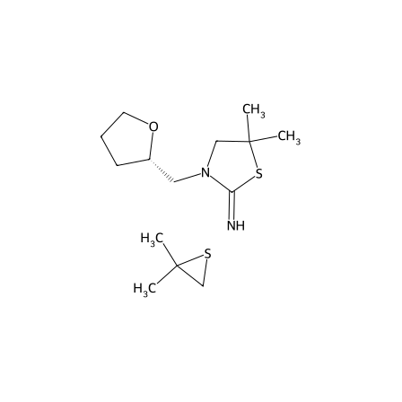 CC1(C)CN(C[C@@H]2CCCO2)C(=N)S1.CC1(C)CS1